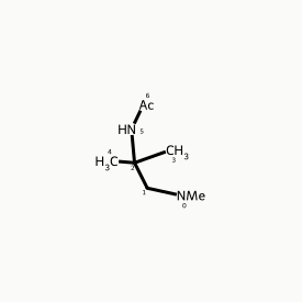 CNCC(C)(C)NC(C)=O